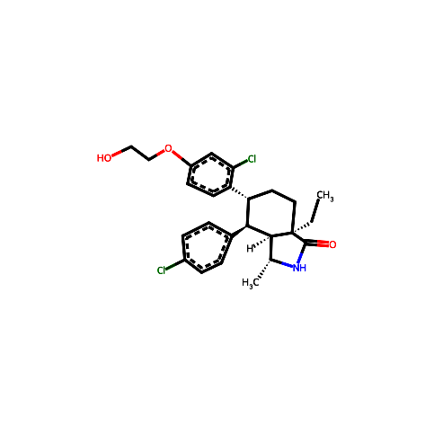 CC[C@@]12CC[C@@H](c3ccc(OCCO)cc3Cl)[C@H](c3ccc(Cl)cc3)[C@@H]1[C@@H](C)NC2=O